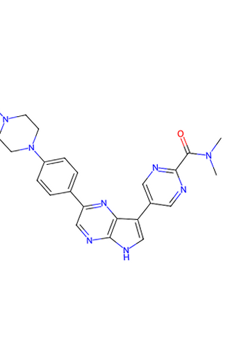 CN1CCN(c2ccc(-c3cnc4[nH]cc(-c5cnc(C(=O)N(C)C)nc5)c4n3)cc2)CC1